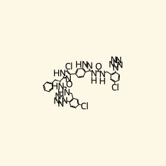 O=C(NCc1cc(Cl)ccc1-n1nnnn1)Nc1n[nH]c2cc(-c3nc([C@H](Cc4ccccc4)NC(=O)NCc4cc(Cl)ccc4-n4cnnn4)[nH]c3Cl)ccc12